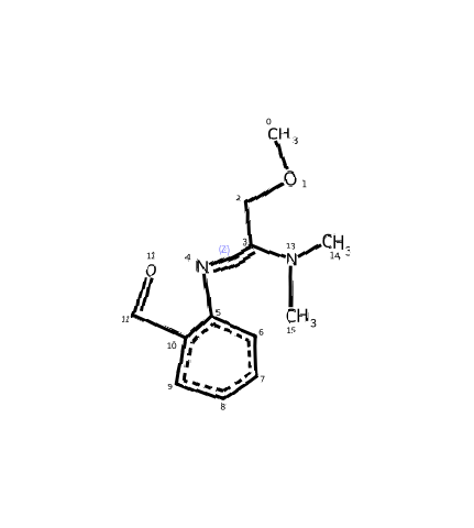 COC/C(=N/c1ccccc1C=O)N(C)C